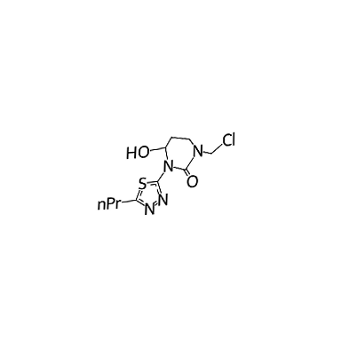 CCCc1nnc(N2C(=O)N(CCl)CCC2O)s1